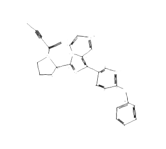 CC#CC(=O)N1CCCC1c1nc(-c2ccc(Oc3ccccc3)nc2)c2cnccn12